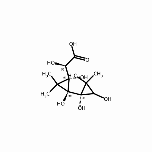 CC1(C)C(O)[C@@]1(O)[C@]1(O)C(C)(C)[C@@]1(O)[C@@H](O)C(=O)O